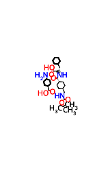 CC(C)(C)OC(=O)NC[C@H]1CC[C@H](C(=O)N[C@@H](Cc2ccccc2)C(=O)O)CC1.Nc1ccc(C(=O)O)cc1